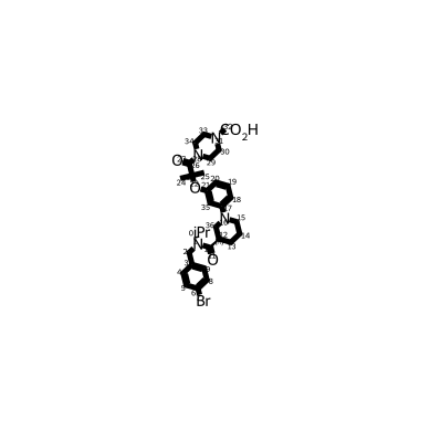 CC(C)N(Cc1ccc(Br)cc1)C(=O)[C@@H]1CCCN(c2cccc(OC(C)(C)C(=O)N3CCN(C(=O)O)CC3)c2)C1